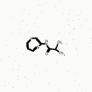 CC(C)C(=O)NC1=CN=C=CC=N1